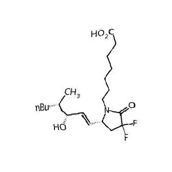 CCCC[C@H](C)[C@@H](O)C=C[C@H]1CC(F)(F)C(=O)N1CCCCCCC(=O)O